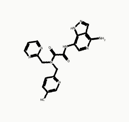 N#Cc1ccc(CN(Cc2ncccn2)C(=O)C(=O)Nc2cnc(N)c3cn[nH]c23)nc1